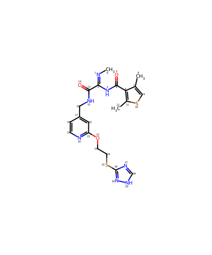 C/N=C(\NC(=O)c1c(C)csc1C)C(=O)NCc1ccnc(OCCSc2nc[nH]n2)c1